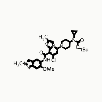 COc1cc2nn(C)cc2cc1NC(=O)c1c(Cl)cc(N2CCC(N(C(=O)OC(C)(C)C)C3CC3)CC2)n2cc(C)nc12